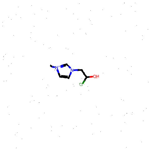 C[n+]1ccn(CC(O)Cl)c1